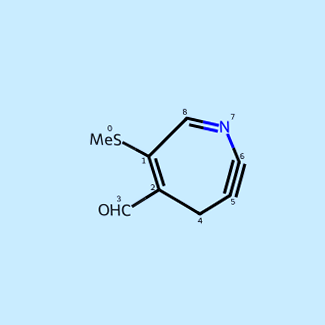 CSC1=C(C=O)CC#CN=C1